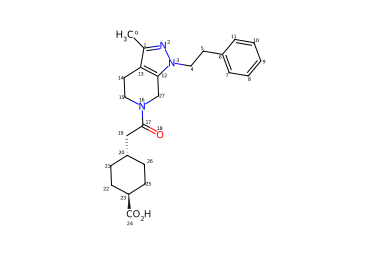 Cc1nn(CCc2ccccc2)c2c1CCN(C(=O)C[C@H]1CC[C@H](C(=O)O)CC1)C2